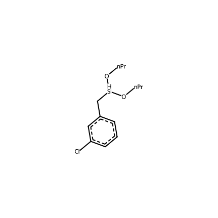 CCCO[SiH](Cc1cccc(Cl)c1)OCCC